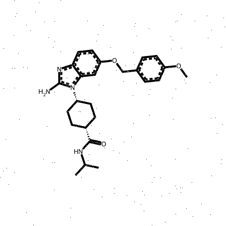 COc1ccc(COc2ccc3nc(N)n([C@H]4CC[C@@H](C(=O)NC(C)C)CC4)c3c2)cc1